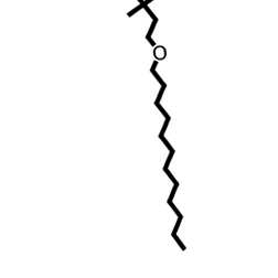 CCCCCCCCCCCCOCCC(C)(C)C